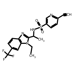 C#Cc1ccc(S(=O)(=O)NC(C)c2nc3ccc(C(F)(F)F)cc3n2CC)cn1